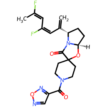 C=C(/C=C(F)\C=C(/C)F)[C@@H]1CC[C@H]2OC3(CCN(C(=O)c4cnon4)CC3)C(=O)N21